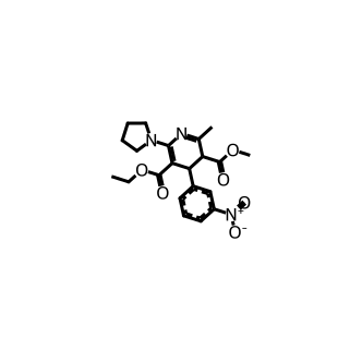 CCOC(=O)C1=C(N2CCCC2)N=C(C)C(C(=O)OC)C1c1cccc([N+](=O)[O-])c1